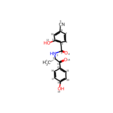 C[C@H](NC(=O)c1ccc(C#N)cc1O)C(=O)c1ccc(O)cc1